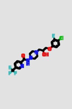 O=C(NN1CCN(C[C@H](O)COc2ccc(Cl)c(F)c2)CC1)c1ccc(C(F)(F)F)cn1